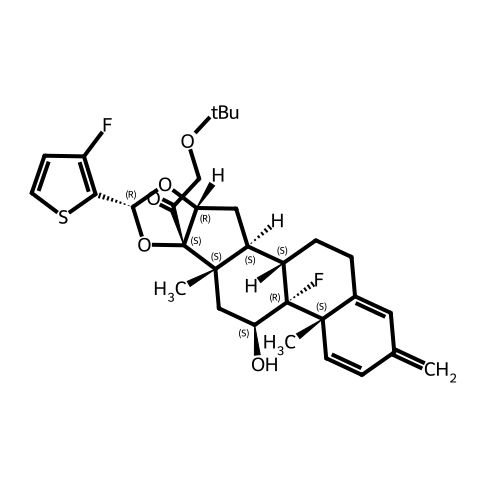 C=C1C=C[C@@]2(C)C(=C1)CC[C@H]1[C@@H]3C[C@H]4O[C@@H](c5sccc5F)O[C@@]4(C(=O)COC(C)(C)C)[C@@]3(C)C[C@H](O)[C@@]12F